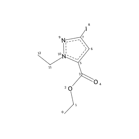 CCOC(=O)c1cc(I)nn1CC